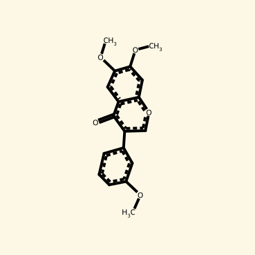 COc1cccc(-c2coc3cc(OC)c(OC)cc3c2=O)c1